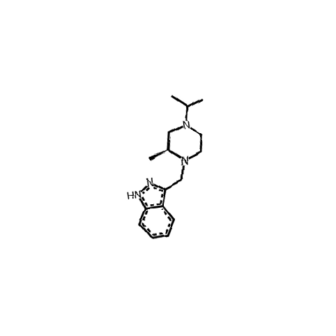 CC(C)N1CCN(Cc2n[nH]c3ccccc23)[C@@H](C)C1